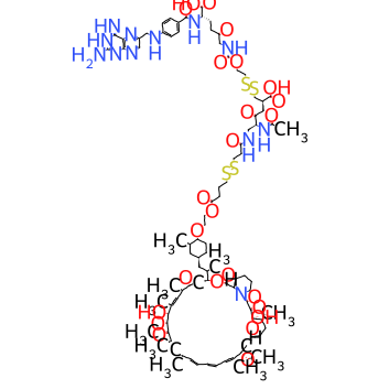 CO[C@H]1C[C@@H]2CC[C@@H](C)[C@@](O)(O2)C(=O)C(=O)N2CCCC[C@H]2C(=O)O[C@H]([C@H](C)C[C@@H]2CC[C@@H](OCCOC(=O)CCCSSCCC(=O)NC[C@H](NC(C)=O)C(=O)C[C@@H](CSSCCOC(=O)NCC(=O)CC[C@H](NC(=O)c3ccc(NCc4cnc5nc(N)[nH]c(=N)c5n4)cc3)C(=O)O)C(=O)O)[C@H](C)C2)CC(=O)[C@H](C)/C=C(\C)[C@@H](O)[C@@H](OC)C(=O)[C@H](C)C[C@H](C)/C=C/C=C/C=C/1C